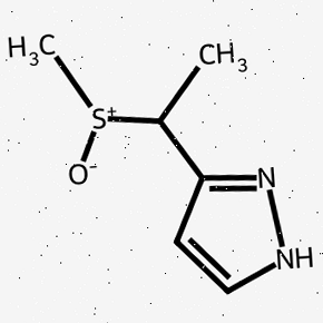 CC(c1cc[nH]n1)[S+](C)[O-]